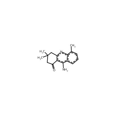 Cc1cccc2c(N)c3c(nc12)CC(C)(C)CC3=O